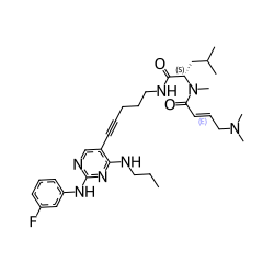 CCCNc1nc(Nc2cccc(F)c2)ncc1C#CCCCNC(=O)[C@H](CC(C)C)N(C)C(=O)/C=C/CN(C)C